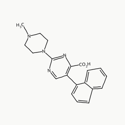 CN1CCN(c2ncc(-c3cccc4ccccc34)c(C(=O)O)n2)CC1